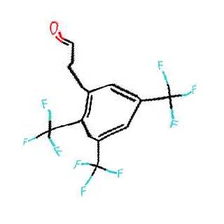 O=CCc1cc(C(F)(F)F)cc(C(F)(F)F)c1C(F)(F)F